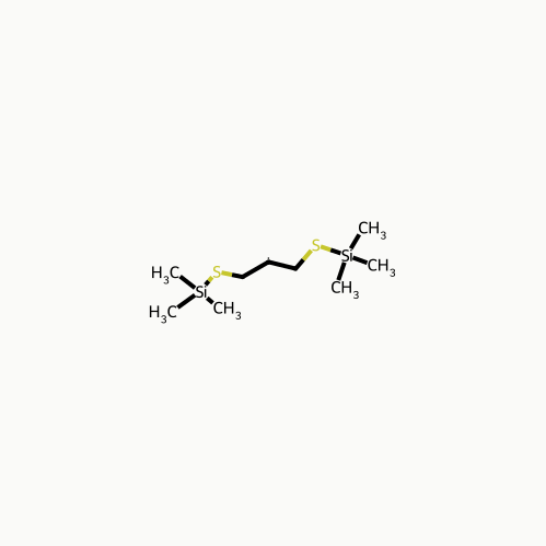 C[Si](C)(C)SC[CH]CS[Si](C)(C)C